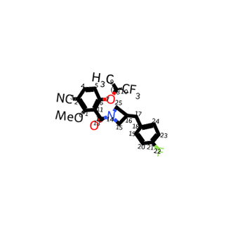 COc1c(C#N)ccc(O[C@@H](C)C(F)(F)F)c1C(=O)N1CC(Cc2ccc(F)cc2)C1